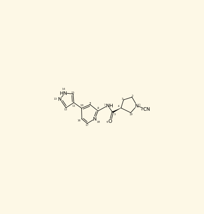 N#CN1CC[C@H](C(=O)Nc2cc(-c3cn[nH]c3)ccn2)C1